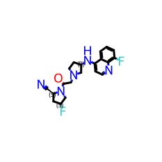 N#C[C@@H]1C[C@H](F)CN1C(=O)CN1CC[C@@H](Nc2ccnc3c(F)cccc23)C1